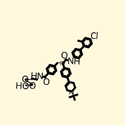 Cc1cc(Cl)ccc1-c1ccc(NC(=O)[C@@H](Cc2ccc(C(=O)NCCS(=O)(=O)O)cc2)c2ccc(C3=CC[C@H](C(C)(C)C)CC3)cc2)cc1